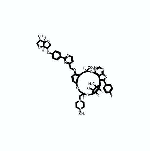 Cc1c(Cl)c2c(Cl)c(C)c1-c1c(-c3ccc(F)cc3)sc3ncnc(c13)O[C@@H](C(=O)O)Cc1cc(ccc1OCc1ccnc(-c3ccc(O[C@H]4CO[C@H]5[C@@H]4OC[C@H]5O)cc3)n1)OC[C@@H](CN1CCN(C)CC1)O2